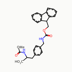 COC(=O)NC(Cc1ccc(CNC(=O)OCC2c3ccccc3-c3ccccc32)cc1)C(=O)O